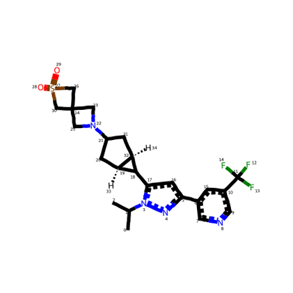 CC(C)n1nc(-c2cncc(C(F)(F)F)c2)cc1C1[C@H]2CC(N3CC4(C3)CS(=O)(=O)C4)C[C@@H]12